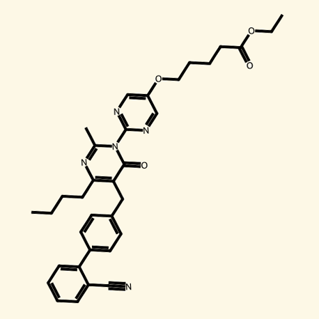 CCCCc1nc(C)n(-c2ncc(OCCCCC(=O)OCC)cn2)c(=O)c1Cc1ccc(-c2ccccc2C#N)cc1